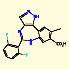 Cc1cc2c(cc1C(=O)O)NC(c1c(F)cccc1F)=Nc1cn[nH]c1-2